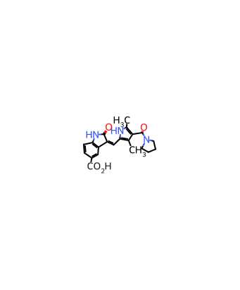 Cc1[nH]c(/C=C2\C(=O)Nc3ccc(C(=O)O)cc32)c(C)c1C(=O)N1CCCC1